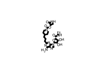 CCNC(=O)[C@H]1O[C@@H](n2cnc3c(N)nc(CCCC4CCN(C(=O)OC5CNC5=O)CC4)nc32)C(O)[C@H]1O